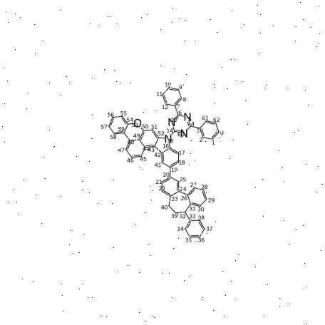 c1ccc(-c2nc(-c3ccccc3)nc(-n3c4ccc(-c5ccc6c(c5)-c5ccccc5C(c5ccccc5)CC6)cc4c4c5cccc6c5c(cc43)Oc3ccccc3-6)n2)cc1